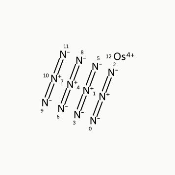 [N-]=[N+]=[N-].[N-]=[N+]=[N-].[N-]=[N+]=[N-].[N-]=[N+]=[N-].[Os+4]